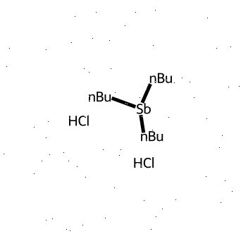 CCC[CH2][Sb]([CH2]CCC)[CH2]CCC.Cl.Cl